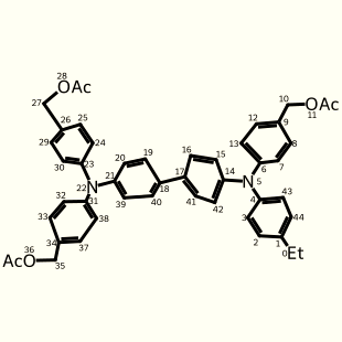 CCc1ccc(N(c2ccc(COC(C)=O)cc2)c2ccc(-c3ccc(N(c4ccc(COC(C)=O)cc4)c4ccc(COC(C)=O)cc4)cc3)cc2)cc1